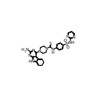 Nc1nc(N2CCN(C(=S)Nc3ccc(S(=O)(=O)Nc4ncccn4)cc3)CC2)c2c3c([nH]c2n1)=CCCC=3